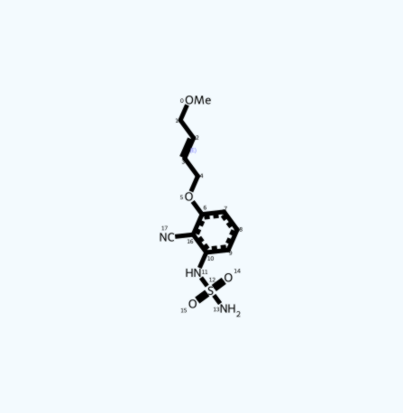 COC/C=C/COc1cccc(NS(N)(=O)=O)c1C#N